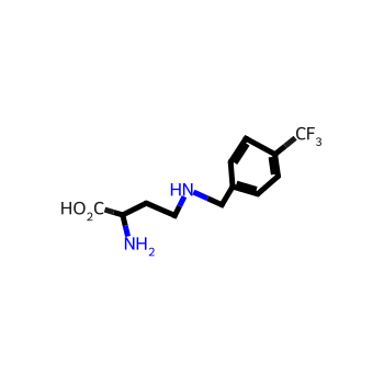 NC(CCNCc1ccc(C(F)(F)F)cc1)C(=O)O